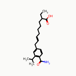 CCC(CCCCC=CCc1ccc(C(N)=O)c(C(C)C)c1)C(=O)O